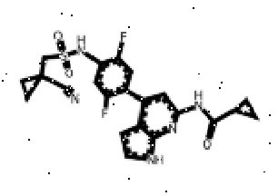 N#CC1(CS(=O)(=O)Nc2cc(F)c(-c3cc(NC(=O)C4CC4)nc4[nH]ccc34)cc2F)CC1